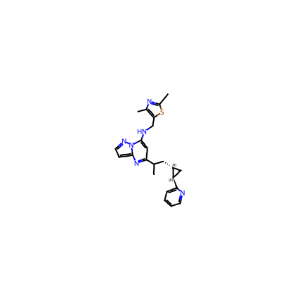 Cc1nc(C)c(CNc2cc(C(C)C[C@@H]3C[C@H]3c3ccccn3)nc3ccnn23)s1